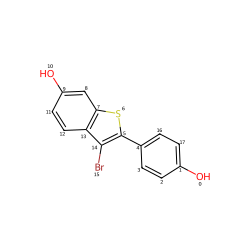 Oc1ccc(-c2sc3cc(O)ccc3c2Br)cc1